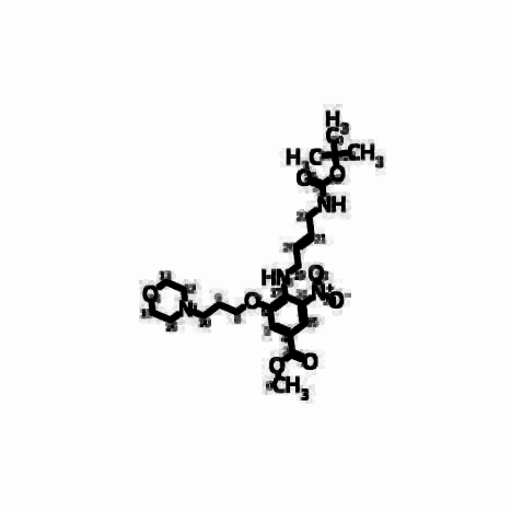 COC(=O)c1cc(OCCCN2CCOCC2)c(NC/C=C/CNC(=O)OC(C)(C)C)c([N+](=O)[O-])c1